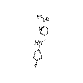 CCN(CC)c1ccc(CNc2ccc(F)cc2)cn1